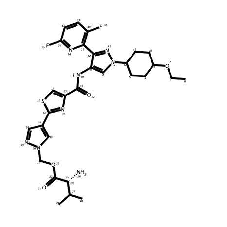 CCOC1CCC(n2cc(NC(=O)c3csc(-c4cnn(COC(=O)[C@H](N)C(C)C)c4)n3)c(-c3nc(F)ccc3F)n2)CC1